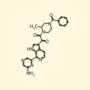 CC1CN(C(=O)c2ccccc2)CCN1C(=O)C(=O)c1c[nH]c2c(-c3cncc(N)n3)nccc12